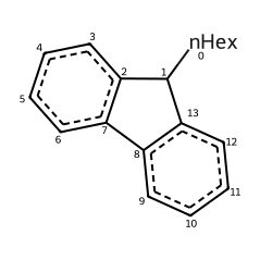 CCCCCCC1c2ccccc2-c2ccccc21